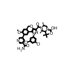 COc1cc2c(cc1-c1cncc(C(N)=O)c1)-c1c(c(C(=O)N3[C@H](C)C(C(C)(C)C)N(C(=O)O)C[C@@H]3C)nn1-c1cc(Cl)cc(Cl)c1)OC2